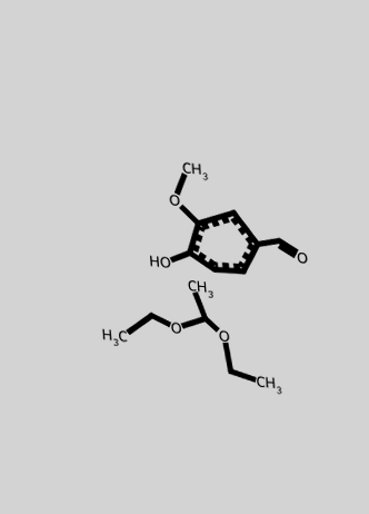 CCOC(C)OCC.COc1cc(C=O)ccc1O